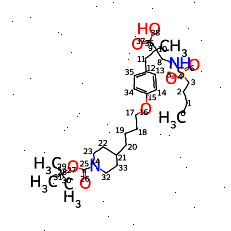 CCCCS(=O)(=O)NCC(C)(Cc1ccc(OCCCCC2CCN(C(=O)OC(C)(C)C)CC2)cc1)C(=O)O